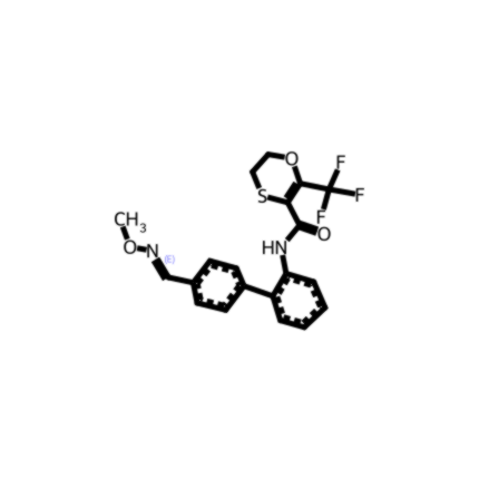 CO/N=C/c1ccc(-c2ccccc2NC(=O)C2=C(C(F)(F)F)OCCS2)cc1